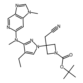 CCc1cn(C2(CC#N)CN(C(=O)OC(C)(C)C)C2)nc1N(C)c1cc2c(cn1)ncn2C